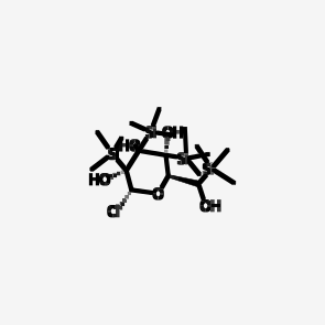 C[Si](C)(C)C(O)[C@H]1O[C@H](Cl)[C@@](O)([Si](C)(C)C)[C@](O)([Si](C)(C)C)[C@@]1(O)[Si](C)(C)C